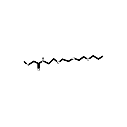 CCCOCCOCCOCCNC(=O)COC